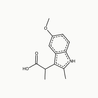 COc1ccc2[nH]c(C)c(C(C)C(=O)O)c2c1